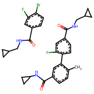 Cc1ccc(C(=O)NC2CC2)cc1-c1ccc(C(=O)NCC2CC2)cc1F.O=C(NCC1CC1)c1ccc(Br)c(F)c1